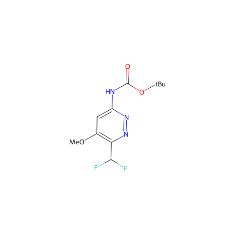 COc1cc(NC(=O)OC(C)(C)C)nnc1C(F)F